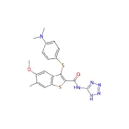 COc1cc2c(Sc3ccc(N(C)C)cc3)c(C(=O)Nc3nnn[nH]3)sc2cc1C